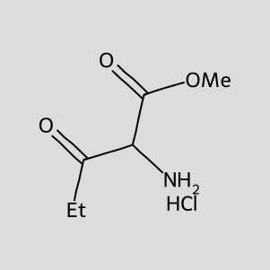 CCC(=O)C(N)C(=O)OC.Cl